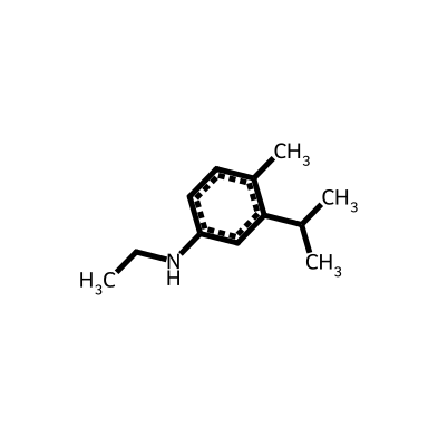 CCNc1ccc(C)c(C(C)C)c1